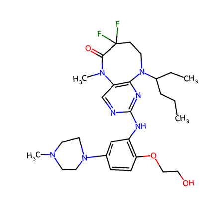 CCCC(CC)N1CCC(F)(F)C(=O)N(C)c2cnc(Nc3cc(N4CCN(C)CC4)ccc3OCCO)nc21